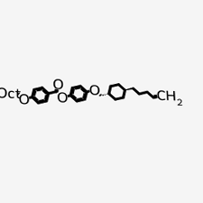 C=CCCC[C@H]1CC[C@H](COc2ccc(OC(=O)c3ccc(OCCCCCCCC)cc3)cc2)CC1